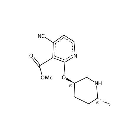 COC(=O)c1c(C#N)ccnc1O[C@@H]1CC[C@@H](C)NC1